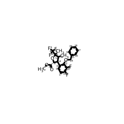 COC(=O)[C@@H]1OC(C)(C(F)(F)F)C(C)C1c1ccc(F)c(F)c1OCc1ccccc1